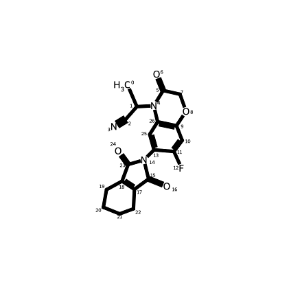 CC(C#N)N1C(=O)COc2cc(F)c(N3C(=O)C4=C(CCCC4)C3=O)cc21